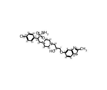 Cc1nc2cc(OC[C@H](O)CN3CCN(CC(c4ccc(Cl)cc4)S(N)(=O)=O)CC3)ccc2s1